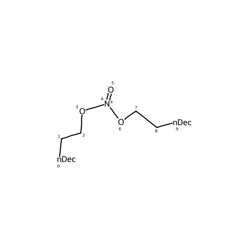 CCCCCCCCCCCCO[N+](=O)OCCCCCCCCCCCC